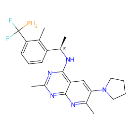 Cc1nc(N[C@H](C)c2cccc(C(F)(F)P)c2C)c2cc(N3CCCC3)c(C)nc2n1